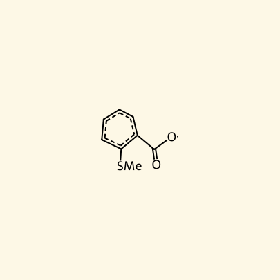 CSc1ccccc1C([O])=O